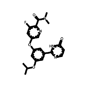 CC(C)Oc1cc(Oc2cnc(C(=O)N(C)C)c(F)c2)cc(-c2nccc(=O)[nH]2)c1